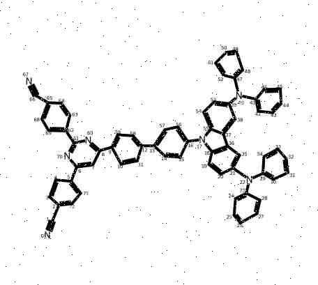 N#Cc1ccc(-c2cc(-c3ccc(-c4ccc(-n5c6ccc(N(c7ccccc7)c7ccccc7)cc6c6cc(N(c7ccccc7)c7ccccc7)ccc65)cc4)cc3)nc(-c3ccc(C#N)cc3)n2)cc1